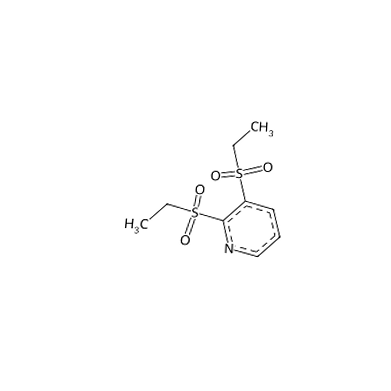 CCS(=O)(=O)c1cccnc1S(=O)(=O)CC